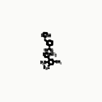 Cc1cc(C)c(C)c(-c2cnc(NC(=O)c3cccc(Cc4ncc[nH]4)c3)n2C)c1